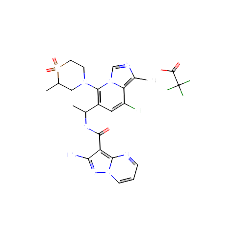 CC(NC(=O)c1c(N)nn2cccnc12)c1cc(Cl)c2c(C#N)ncn2c1N1CCS(=O)(=O)C(C)C1.O=C(O)C(F)(F)F